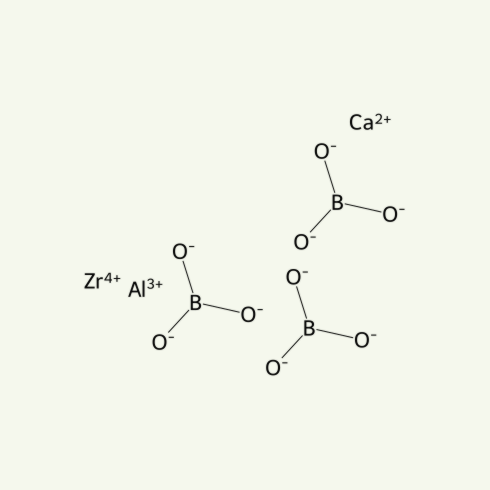 [Al+3].[Ca+2].[O-]B([O-])[O-].[O-]B([O-])[O-].[O-]B([O-])[O-].[Zr+4]